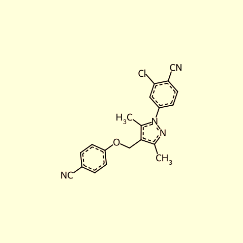 Cc1nn(-c2ccc(C#N)c(Cl)c2)c(C)c1COc1ccc(C#N)cc1